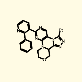 CCc1nnc2n1-c1cnc(-c3cccnc3-c3ccccc3)nc1N1CCOCC21